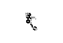 NC(=O)c1c(-c2cccc(OCCCN3CCOCC3)c2)cnc2[nH]c[c]c12